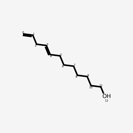 C=CC/C=C/CCCCCCCO